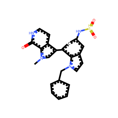 Cn1cc(-c2cc(N[SH](=O)=O)cc3ccn(Cc4ccccc4)c23)c2cc[nH]c(=O)c21